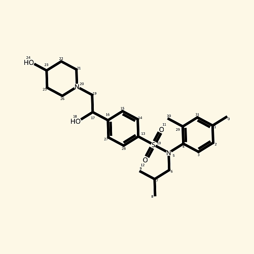 Cc1ccc(N(CC(C)C)S(=O)(=O)c2ccc(C(O)CN3CCC(O)CC3)cc2)c(C)c1